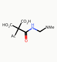 CNCNC(=O)C(C(C)=O)(C(=O)O)C(=O)O